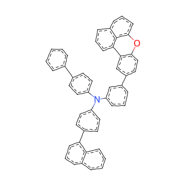 c1ccc(-c2ccc(N(c3ccc(-c4cccc5ccccc45)cc3)c3cccc(-c4ccc5c(c4)-c4cccc6cccc(c46)O5)c3)cc2)cc1